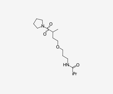 CC(C)C(=O)NCCCOCCC(C)S(=O)(=O)N1CCCC1